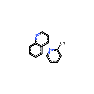 N#Cc1ccccn1.c1ccc2ncccc2c1